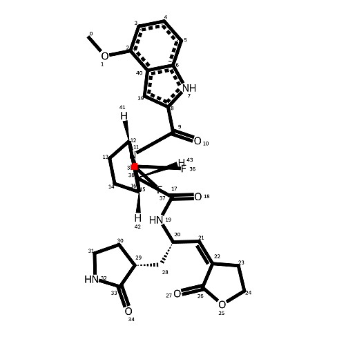 COc1cccc2[nH]c(C(=O)N3[C@H]4CC[C@@H]([C@H]3C(=O)N[C@H](/C=C3/CCOC3=O)C[C@H]3CCNC3=O)C(F)(F)C4)cc12